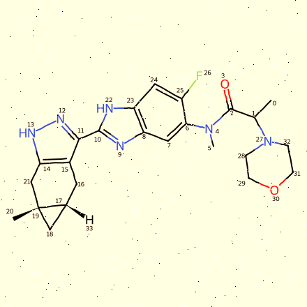 CC(C(=O)N(C)c1cc2nc(-c3n[nH]c4c3C[C@@H]3C[C@]3(C)C4)[nH]c2cc1F)N1CCOCC1